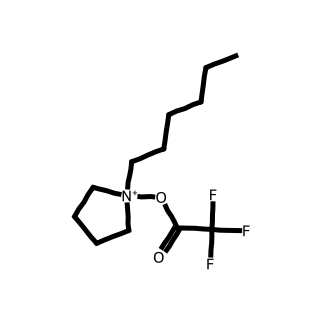 CCCCCC[N+]1(OC(=O)C(F)(F)F)CCCC1